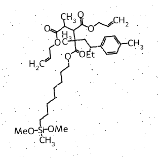 C=CCOC(=O)C(C)C(C(=O)OCC=C)C(C)(CC(CC)c1ccc(C)cc1)C(=O)OCCCCCCCC[Si](C)(OC)OC